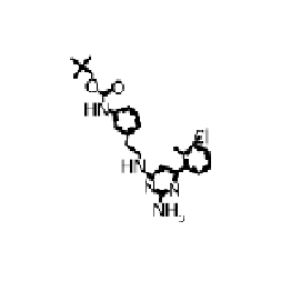 Cc1c(Cl)cccc1-c1cc(NCCc2cccc(NC(=O)OCC(C)(C)C)c2)nc(N)n1